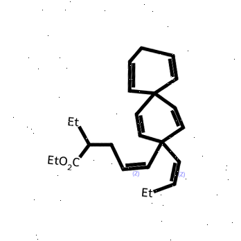 CC/C=C\C1(/C=C\CC(CC)C(=O)OCC)C=CC2(C=CCC=C2)C=C1